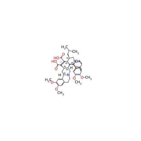 COc1cc2c(cc1OC)[C@H]1C[C@@H](/C(C(=O)O)=C(/C(=O)O)[C@@H]3C[C@@H]4c5cc(OC)c(OC)cc5CCN4C[C@@H]3CC(C)C)[C@@H](CC(C)C)CN1CC2